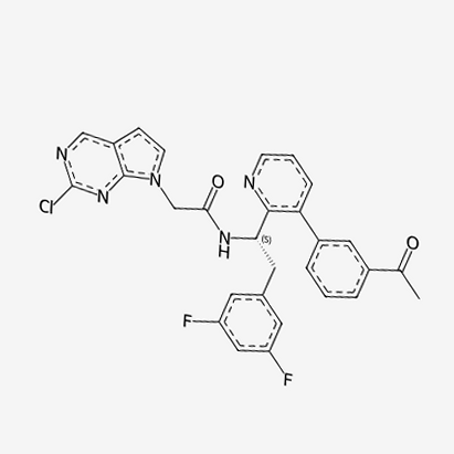 CC(=O)c1cccc(-c2cccnc2[C@H](Cc2cc(F)cc(F)c2)NC(=O)Cn2ccc3cnc(Cl)nc32)c1